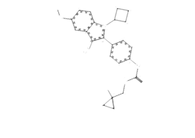 CCOc1ccc2c(c1)c(C#N)c(-c1ccc(NC(=O)OCC3(C)CC3)cc1)n2C1CCC1